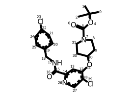 CC(C)(C)OC(=O)N1CCC(Oc2cc(C(=O)NCc3ccc(Cl)cc3)ncc2Cl)CC1